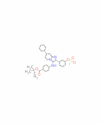 CC(C)(C)OC(=O)c1ccc(Nc2c(-c3cccc(OS(=O)(=O)F)c3)nc3cc(-c4ccccc4)ccn23)cc1